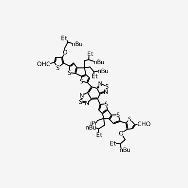 CCCCC(CC)COc1cc(C=O)sc1-c1cc2c(s1)-c1sc(-c3c4c(c(-c5cc6c(s5)-c5sc(-c7sc(C=O)cc7OCC(CC)CCCC)cc5C6(CC(CC)CCCC)CC(CC)CCCC)c5nsnc35)N=S=N4)cc1C2(CC(C)C)CC(CC)CCCC